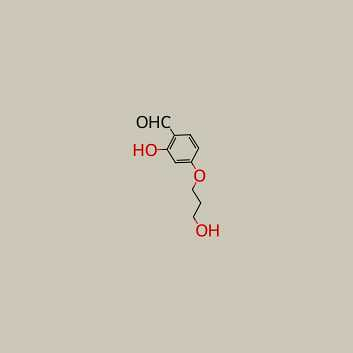 O=Cc1ccc(OCCCO)cc1O